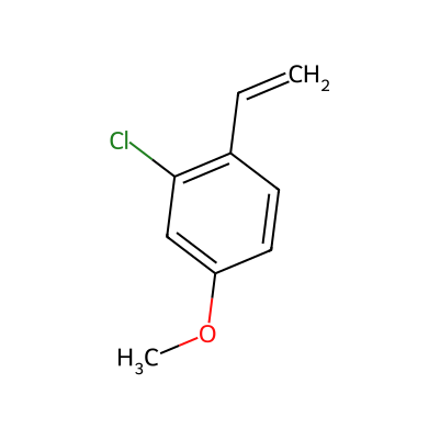 C=Cc1ccc(OC)cc1Cl